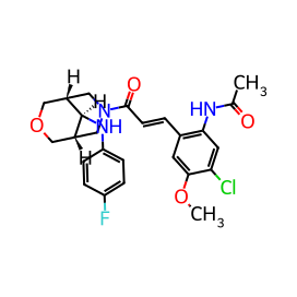 COc1cc(/C=C/C(=O)N2C[C@H]3COC[C@@H](C2)[C@@H]3Nc2ccc(F)cc2)c(NC(C)=O)cc1Cl